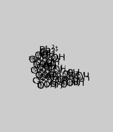 O=C([O-])C(O)C(O)C(O)C(O)CO.O=C([O-])C(O)C(O)C(O)C(O)CO.O=C([O-])C(O)C(O)C(O)C(O)CO.O=C([O-])C(O)C(O)C(O)C(O)CO.[Ca+2].[Pb+2]